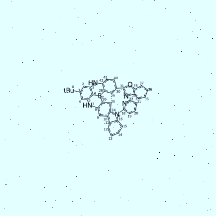 CC(C)(C)c1cc2c3c(c1)Nc1cc4c5ccccc5n(-c5ccccn5)c4cc1B3c1cc(-c3nc4ccccc4o3)ccc1N2